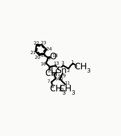 CCC[CH2][Sn]([CH2]CCC)([CH2]CCC)[CH2]C(C)CC(=O)c1ccccc1